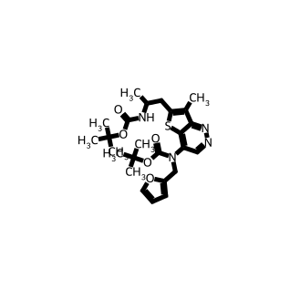 Cc1c(CC(C)NC(=O)OC(C)(C)C)sc2c(N(Cc3ccco3)C(=O)OC(C)(C)C)cnnc12